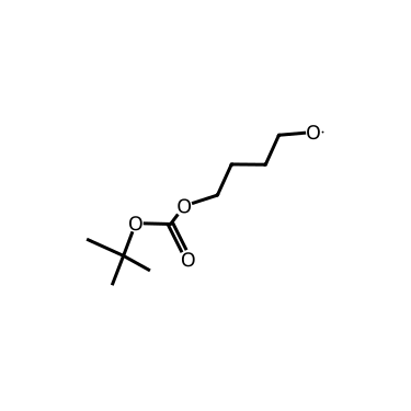 CC(C)(C)OC(=O)OCCCC[O]